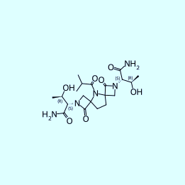 CC(C)C(=O)N1C2(CCC13CN([C@H](C(N)=O)[C@@H](C)O)C3=O)CN([C@H](C(N)=O)[C@@H](C)O)C2=O